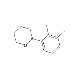 Cc1ccc[c]([Al]2[CH2]CCC[O]2)c1C